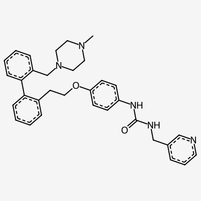 CN1CCN(Cc2ccccc2-c2ccccc2CCOc2ccc(NC(=O)NCc3cccnc3)cc2)CC1